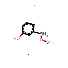 Oc1cccc([SiH2]O[SiH3])c1